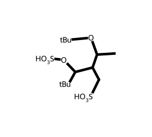 CC(OC(C)(C)C)C(CS(=O)(=O)O)C(OS(=O)(=O)O)C(C)(C)C